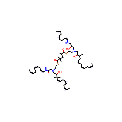 C/C=C\C/C=C\C/C=C\CC(C)C(O)CN(CCSC(=O)C(C)CC(C)(C)C(=O)SCCN(CC(O)N/C=C\C/C=C\C/C=C\C)CC(O)C(C)(C)/C=C\C/C=C\C/C=C\C)CC(O)CN/C=C\C/C=C\C/C=C\C